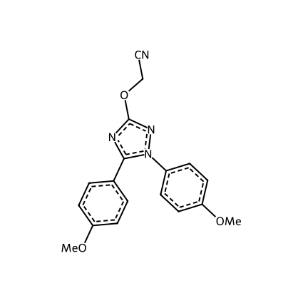 COc1ccc(-c2nc(OCC#N)nn2-c2ccc(OC)cc2)cc1